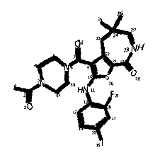 CC(=O)N1CCN(C(=O)c2c(Nc3ccc(I)cc3F)sc3c2CC(C)(C)CNC3=O)CC1